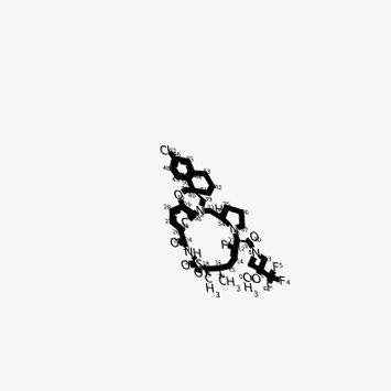 COC1(C(F)(F)F)CN(C(=O)[C@H]2/C(F)=C/C[C@H](C)[C@@H](C)S(=O)(=O)NC(=O)c3ccc4c(c3)N(C[C@@H]3CCCN32)C[C@@]2(CCCc3cc(Cl)ccc32)CO4)C1